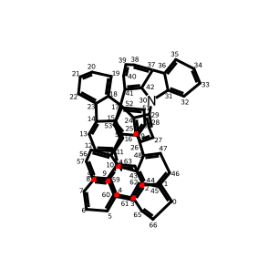 c1ccc(-c2ccccc2N(c2ccc3c(c2)C2(c4ccccc4-3)c3ccccc3-n3c4ccccc4c4cccc2c43)c2ccccc2-c2ccccc2-c2cccc3ccccc23)cc1